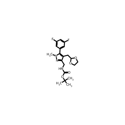 Cn1nc(CNC(=O)OC(C)(C)C)c(CC2OCCO2)c1-c1cc(F)cc(F)c1